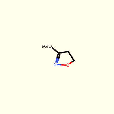 COC1=NOC[C]1